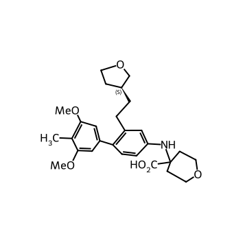 COc1cc(-c2ccc(NC3(C(=O)O)CCOCC3)cc2CC[C@H]2CCOC2)cc(OC)c1C